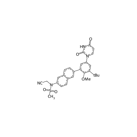 COc1c(-c2ccc3cc(N(CC#N)S(C)(=O)=O)ccc3c2)cc(-n2ccc(=O)[nH]c2=O)cc1C(C)(C)C